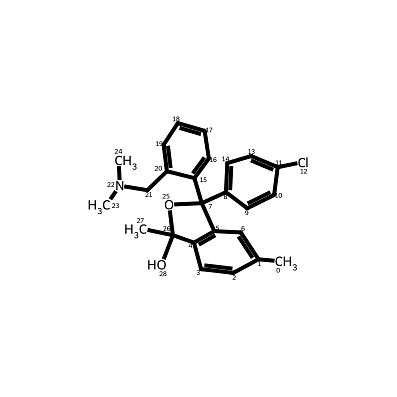 Cc1ccc2c(c1)C(c1ccc(Cl)cc1)(c1ccccc1CN(C)C)OC2(C)O